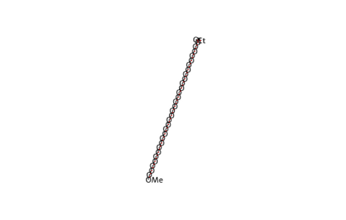 CCC(C)(C)C(=O)OCCOCCOCCOCCOCCOCCOCCOCCOCCOCCOCCOCCOCCOCCOCCOCCOCCOCCOCCOCCOCCOCCOCCOCCOCCOCCOCCOCCOCCOCCOC